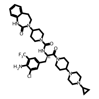 Nc1c(Cl)cc(C[C@@H](NC(=O)N2CCC(N3CCc4ccccc4NC3=O)CC2)C(=O)N2CCC(N3CCN(C4CC4)CC3)CC2)cc1C(F)(F)F